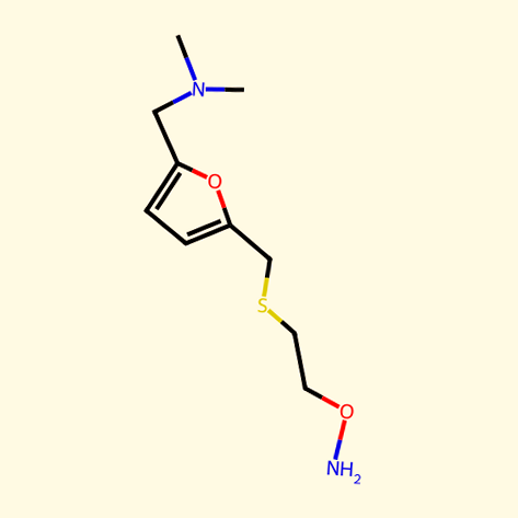 CN(C)Cc1ccc(CSCCON)o1